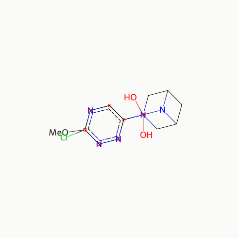 COc1ccc(C(O)(O)N2C3CC2CN(c2cnc(Cl)cn2)C3)cn1